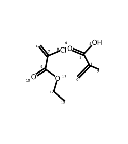 C=C(C)C(=O)O.C=C(Cl)C(=O)OCC